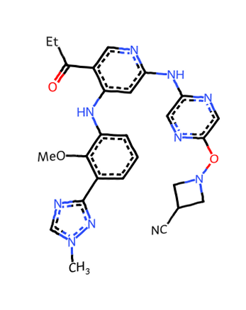 CCC(=O)c1cnc(Nc2cnc(ON3CC(C#N)C3)cn2)cc1Nc1cccc(-c2ncn(C)n2)c1OC